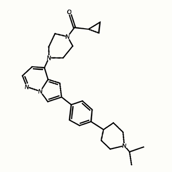 CC(C)N1CCC(c2ccc(-c3cc4c(N5CCN(C(=O)C6CC6)CC5)ccnn4c3)cc2)CC1